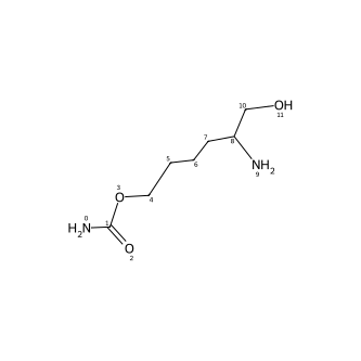 NC(=O)OCCCCC(N)CO